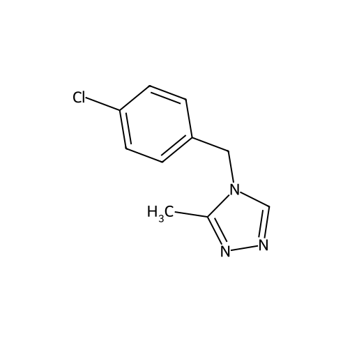 Cc1nncn1Cc1ccc(Cl)cc1